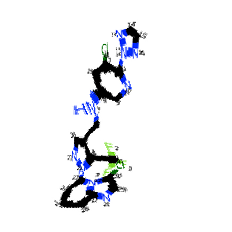 FC(F)(F)c1c(CNc2cnc(-n3nccn3)c(Cl)c2)cnn1-c1cccc2ncc(Cl)n12